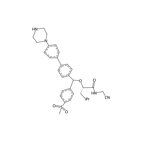 CC(C)C[C@H](OC(c1ccc(-c2ccc(N3CCNCC3)cc2)cc1)c1ccc(S(C)(=O)=O)cc1)C(=O)NCC#N